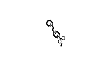 CCOC(=O)N1CCN(CCN2CCCCC2)CC1